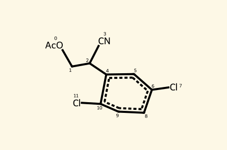 CC(=O)OCC(C#N)c1cc(Cl)ccc1Cl